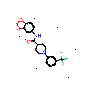 O=C(Nc1ccc2c(c1)OCO2)C1CCN(c2cccc(C(F)(F)F)c2)CC1